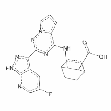 O=C(O)C1C2C=CC(CC2)C1Nc1nc(-c2n[nH]c3ncc(F)cc23)nn2cccc12